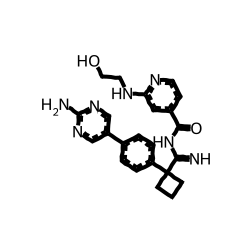 N=C(NC(=O)c1ccnc(NCCO)c1)C1(c2ccc(-c3cnc(N)nc3)cc2)CCC1